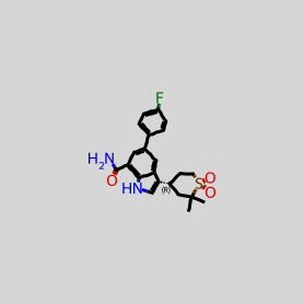 CC1(C)C[C@H](c2c[nH]c3c(C(N)=O)cc(-c4ccc(F)cc4)cc23)CCS1(=O)=O